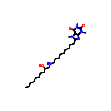 CCCCCCCCC(O)CNCCCCCCCCCc1nc2c(c(=O)[nH]c(=O)n2C)n1C